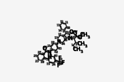 CCC(C)C(NC(=O)C(c1ccccc1)C1CCN(c2ccc(NC(=O)c3ccccc3-c3ccc(C(F)(F)F)cc3)cc2)CC1)C(=O)OC